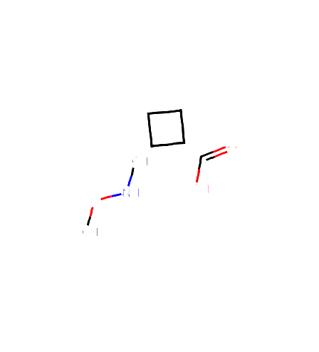 C1CCC1.CNOC.O=CO